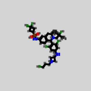 CC1Cc2cc(NS(=O)(=O)C3CC(F)(F)C3)ccc2C(c2c(F)cc(NC3CN(CCCF)C3)cc2F)N1CC(C)(C)F